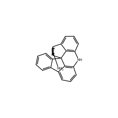 Nc1cccc2c1C13c4ccccc4-c4cccc(c41)Nc1cccc-2c13